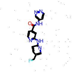 O=C(Nc1ccnnc1)c1ccnc(Nc2ccc(CF)cn2)c1